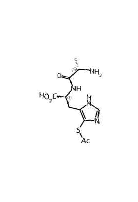 CC(=O)Sc1nc[nH]c1C[C@H](NC(=O)[C@H](C)N)C(=O)O